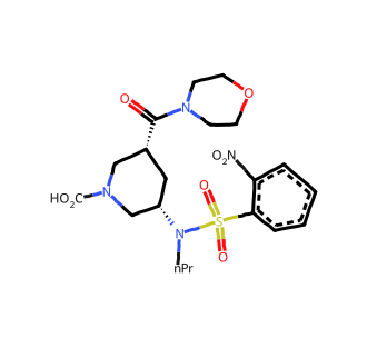 CCCN([C@H]1C[C@@H](C(=O)N2CCOCC2)CN(C(=O)O)C1)S(=O)(=O)c1ccccc1[N+](=O)[O-]